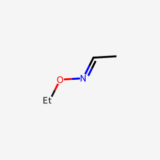 CC=NOCC